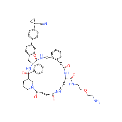 N#CC1(c2ccc(-c3ccc(C[C@@H]4NC(=O)[C@]5(Cc6ccccc6)CCCN(C5)C(=O)/C=C/C(=O)NCC[C@@H](C(=O)NCCOCCN)NC(=O)Cc5ccccc5CNC4=O)cc3)cc2)CC1